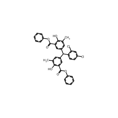 Cc1cc(C(c2cc(C)c(O)c(C(=O)Oc3ccccc3)c2)c2ccc(Cl)cc2Cl)cc(C(=O)Oc2ccccc2)c1O